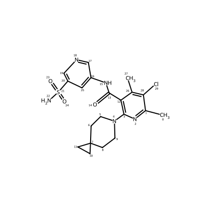 Cc1nc(N2CCC3(CC2)CC3)c(C(=O)Nc2cncc(S(N)(=O)=O)c2)c(C)c1Cl